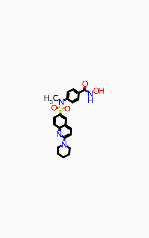 CN(c1ccc(C(=O)NO)cc1)S(=O)(=O)c1ccc2nc(N3CCCCC3)ccc2c1